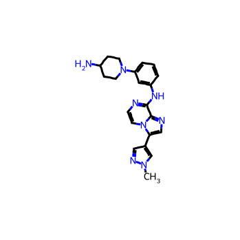 Cn1cc(-c2cnc3c(Nc4cccc(N5CCC(N)CC5)c4)nccn23)cn1